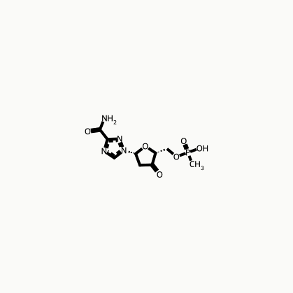 CP(=O)(O)OC[C@H]1O[C@@H](n2cnc(C(N)=O)n2)CC1=O